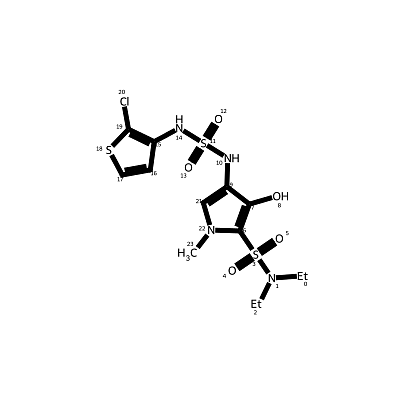 CCN(CC)S(=O)(=O)c1c(O)c(NS(=O)(=O)Nc2ccsc2Cl)cn1C